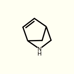 C1=CC2CC1CN2